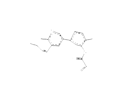 C=CC(=O)Nc1cc(-c2cnc(C)c(/C=C\CC)c2)ccc1F